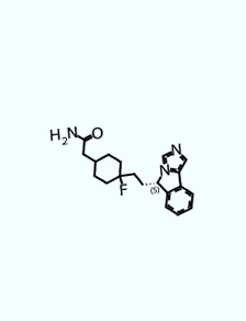 NC(=O)CC1CCC(F)(CC[C@H]2c3ccccc3-c3cncn32)CC1